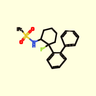 CC(C)S(=O)(=O)NC1CCCCC1(F)c1ccccc1-c1ccccc1